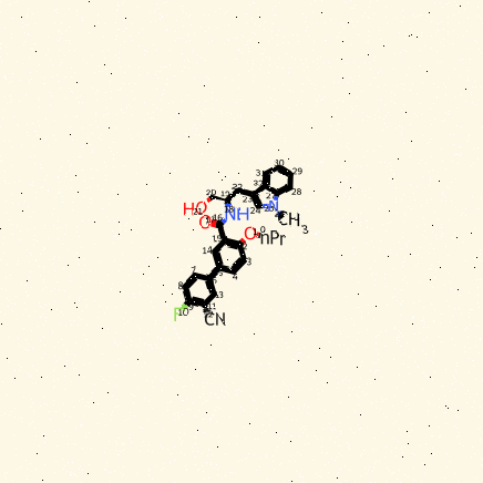 CCCOc1ccc(-c2ccc(F)c(C#N)c2)cc1C(=O)N[C@@H](CO)Cc1cn(C)c2ccccc12